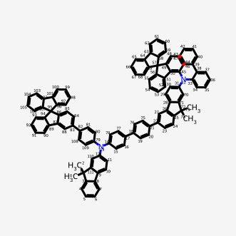 CC1(C)c2ccccc2-c2ccc(N(c3ccc(-c4ccc(-c5ccc6c(c5)-c5ccc(N(c7ccccc7-c7ccccc7)c7cccc8c7-c7ccccc7C87c8ccccc8-c8ccccc87)cc5C6(C)C)cc4)cc3)c3ccc(-c4ccc5c(c4)-c4ccccc4C54c5ccccc5-c5ccccc54)cc3)cc21